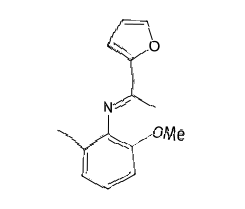 COc1cccc(C)c1N=C(C)c1ccco1